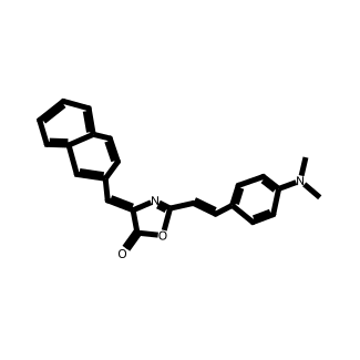 CN(C)c1ccc(/C=C/C2=NC(=C\c3ccc4ccccc4c3)/C(=O)O2)cc1